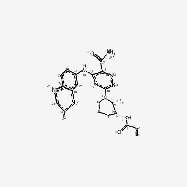 C=CC(=O)N[C@@H]1CCCN(c2nnc(C(N)=O)c(Nc3ccc4ncc(C)cc4c3)n2)[C@@H]1C